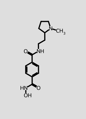 CN1CCCC1CCNC(=O)c1ccc(C(=O)NO)cc1